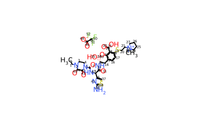 CCN1CCN(C(=O)NC(C(=O)N[C@H]2Cc3ccc(SCC[N+]4(C)CCCC4)c(C(=O)O)c3OB2O)c2csc(N)n2)C(=O)C1=O.O=C([O-])C(F)(F)F